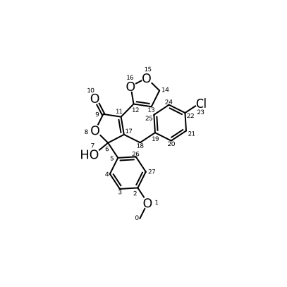 COc1ccc(C2(O)OC(=O)C(C3=CCOO3)=C2Cc2ccc(Cl)cc2)cc1